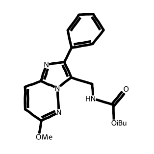 COc1ccc2nc(-c3ccccc3)c(CNC(=O)OCC(C)C)n2n1